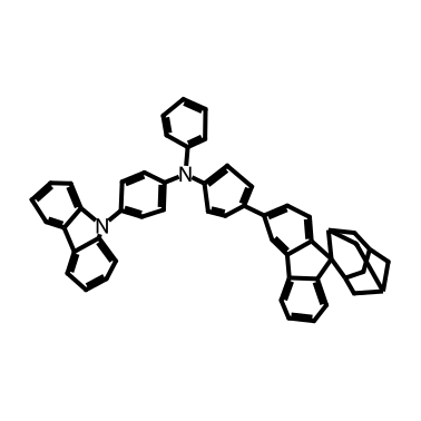 c1ccc(N(c2ccc(-c3ccc4c(c3)-c3ccccc3C43C4CC5CC(C4)CC3C5)cc2)c2ccc(-n3c4ccccc4c4ccccc43)cc2)cc1